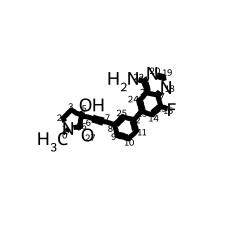 CN1CCC(O)(C#Cc2cccc(-c3cc(F)c4ncnc(N)c4c3)c2)C1=O